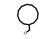 [O]CC1CCCCCCCCCCC1